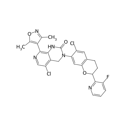 Cc1noc(C)c1-c1ncc(Cl)c2c1NC(=O)N(c1cc3c(cc1Cl)CCC(c1ncccc1F)O3)C2